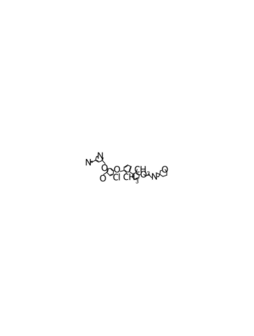 Cc1c(COc2cc(OCc3cncc(C#N)c3)c(C=O)cc2Cl)cccc1-c1cccc(OCCCN2CC3(CCCOC3)C2)c1C